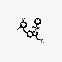 CNCc1cn(S(=O)(=O)c2cccnc2)c2cc(Cc3ccc(C)nc3Cl)ccc12